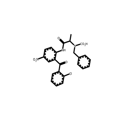 CC(C(=O)Nc1ccc([N+](=O)[O-])cc1C(=O)c1ccccc1Cl)N(Cc1ccccc1)C(=O)O